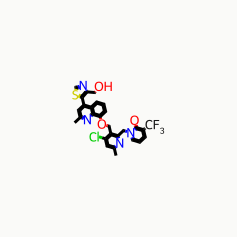 Cc1cc(Cl)c(COc2cccc3c(-c4scnc4CO)cc(C)nc23)c(Cn2cccc(C(F)(F)F)c2=O)n1